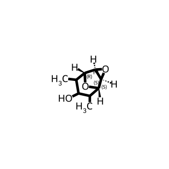 CC1C(O)C(C)[C@@H]2O[C@H]1[C@H]1O[C@H]12